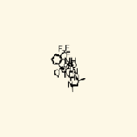 COC(=O)c1cccc(C(F)(F)F)c1NS(=O)(=O)c1nc2nc(C)cc(C)n2n1